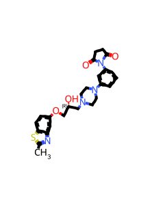 Cc1nc2cc(OC[C@H](O)CN3CCN(c4cccc(N5C(=O)CCC5=O)c4)CC3)ccc2s1